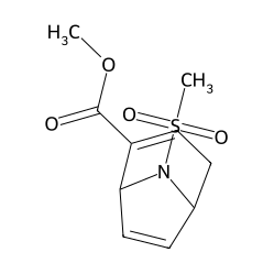 COC(=O)C1=CCC2C=CC1N2S(C)(=O)=O